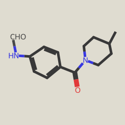 CC1CCN(C(=O)c2ccc(NC=O)cc2)CC1